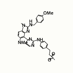 CNc1ccc2c(nc(NCc3ccc(OC)cc3)n2C)c1-c1ccnc(Nc2ccc(CCS(C)(=O)=O)cc2)n1